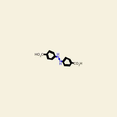 O=C(O)c1ccc(NNc2ccc(C(=O)O)cc2)cc1